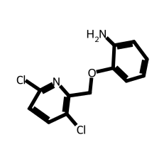 Nc1ccccc1OCc1nc(Cl)ccc1Cl